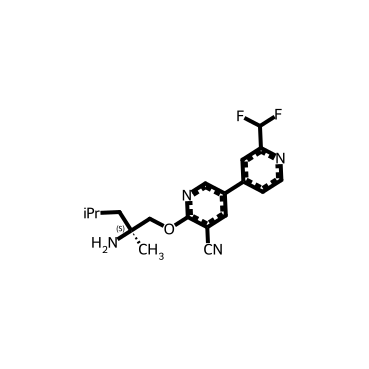 CC(C)C[C@](C)(N)COc1ncc(-c2ccnc(C(F)F)c2)cc1C#N